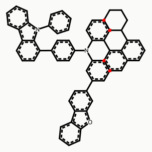 c1ccc(-n2c3ccccc3c3cccc(-c4ccc(N(c5cccc(-c6ccc7c(c6)oc6ccccc67)c5)c5ccccc5-c5cccc6cccc(C7CCCCC7)c56)cc4)c32)cc1